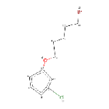 Clc1cccc(OCCCCCBr)c1